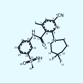 Cc1cc(C#N)nc(N2CCCC(F)(F)CC2)c1C(=O)Nc1cccc([S@](C)(=N)=O)c1